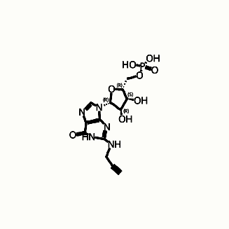 C#CCNc1nc2c(ncn2[C@@H]2O[C@H](COP(=O)(O)O)[C@@H](O)[C@H]2O)c(=O)[nH]1